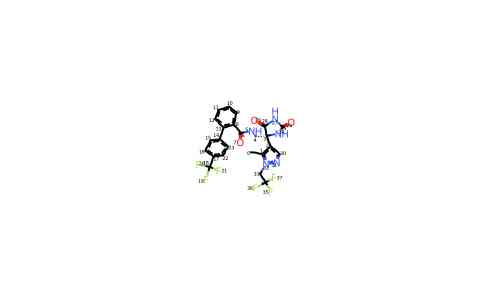 Cc1c([C@]2(CNC(=O)c3ccccc3-c3ccc(C(F)(F)F)cc3)NC(=O)NC2=O)cnn1CC(F)(F)F